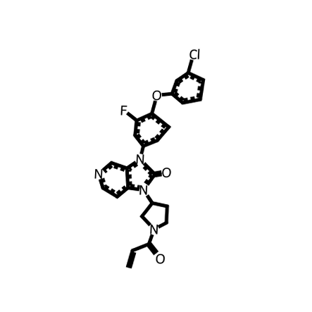 C=CC(=O)N1CCC(n2c(=O)n(-c3ccc(Oc4cccc(Cl)c4)c(F)c3)c3cnccc32)C1